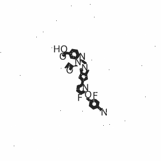 N#Cc1ccc(COc2nc(C3=CC4CN(Cc5nc6ccc(C(=O)O)cc6n5C[C@@H]5CCO5)CC4C3)ccc2F)c(F)c1